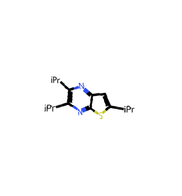 CC(C)c1cc2nc(C(C)C)c(C(C)C)nc2s1